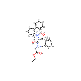 CCOC(=O)CN1Cc2ccccc2[C@@H]2OC(c3ccccc3)=N[C@]2(Cc2ccccc2)C1=O